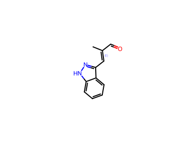 C/C(C=O)=C\c1n[nH]c2ccccc12